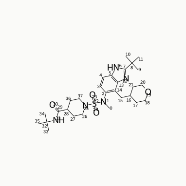 CN(c1ccc2[nH]c(C(C)(C)C)nc2c1CC1CCOCC1)S(=O)(=O)N1CCC(C(=O)NC(C)(C)C)CC1